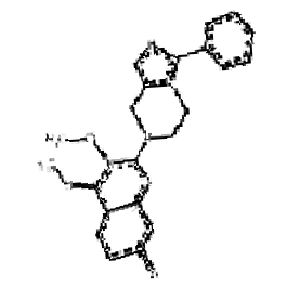 COc1c2ccc(=O)cc-2nc(N2CCn3c(cnc3-c3ccccc3)C2)n1OC